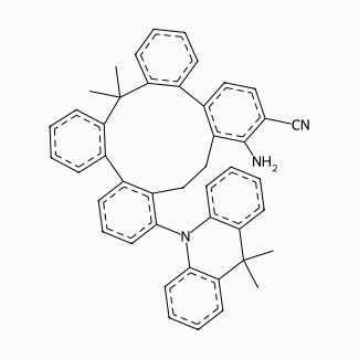 CC1(C)c2ccccc2-c2cccc(N3c4ccccc4C(C)(C)c4ccccc43)c2CCc2c(ccc(C#N)c2N)-c2ccccc21